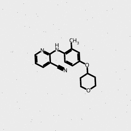 Cc1cc(OC2CCOCC2)ccc1Nc1ncccc1C#N